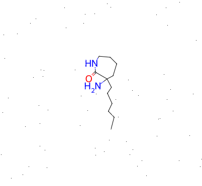 CCCCCCC1(N)CCCCNC1=O